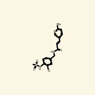 CC(C)(C)c1ccc(/C=C/C(=O)NCc2ccc(NS(C)(=O)=O)c(Cl)c2)cn1